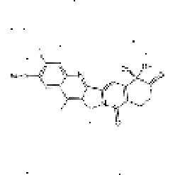 CC[C@@]1(O)C(=O)CCc2c1cc1n(c2=O)Cc2c-1nc1cc(F)c(OC)cc1c2C